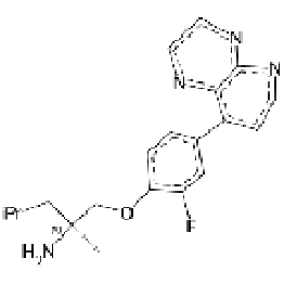 CC(C)C[C@](C)(N)COc1ccc(-c2ccnc3nccnc23)cc1F